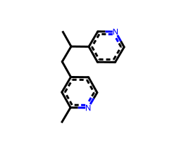 Cc1cc(CC(C)c2cccnc2)ccn1